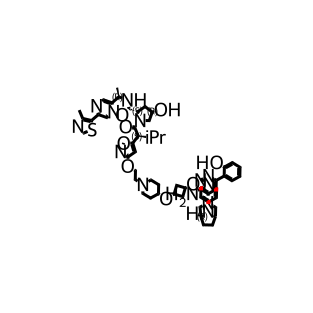 Cc1ncsc1-c1cnc([C@@H](C)NC(=O)[C@@H]2C[C@@H](O)CN2C(=O)[C@H](c2cc(OCCN3CCC(OC4CC(Oc5cc(N6C7CC[C@@H]6CN(c6cc(-c8ccccc8O)nnc6N)C7)ccn5)C4)CC3)no2)C(C)C)cn1